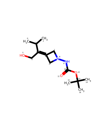 CC(C)C(CO)=C1CN(NC(=O)OC(C)(C)C)C1